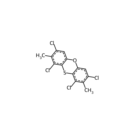 Cc1c(Cl)cc2c(c1Cl)Sc1c(cc(Cl)c(C)c1Cl)O2